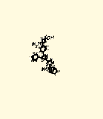 CC1(O)CC(N)(c2ccc(-c3nc(-c4cnc(C5(O)CC6CCC(C5)N6)s4)sc3-c3ccccc3)cc2)C1